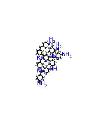 Nc1ccc(CC2CCC(N)CC2)cc1C1C(CC2CCC(N)CC2)CC(C2CC(NC3CCC(CC4CCC(N)CC4)CC3)CCC2CC2CCC(N)CC2)C(N)C1CC1CCC(N)CC1